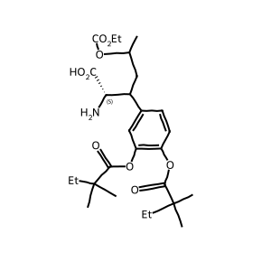 CCOC(=O)OC(C)CC(c1ccc(OC(=O)C(C)(C)CC)c(OC(=O)C(C)(C)CC)c1)[C@H](N)C(=O)O